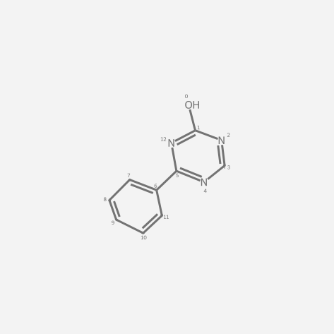 Oc1n[c]nc(-c2ccccc2)n1